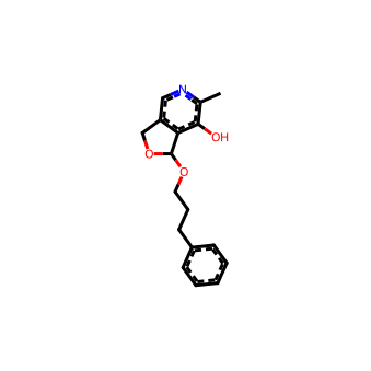 Cc1ncc2c(c1O)C(OCCCc1ccccc1)OC2